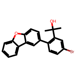 CC(C)(O)c1cc(Br)ccc1-c1ccc2oc3ccccc3c2c1